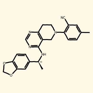 Cc1ccc(N2CCc3ncnc(N[C@@H](C)c4ccc5c(c4)OCO5)c3C2)c(C#N)c1